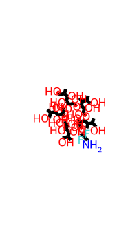 CC(CO)C(C)C(OC(O)C(O)C(OC(O)C(OC(O)C(OC(O)C(O)C(O)C(O)C(C)CO)C(O)C(O)C(C)CO)C(O)C(O)C(C)CO)C(C)C(C)CO)C(O)C(O)OCC(F)(F)CN